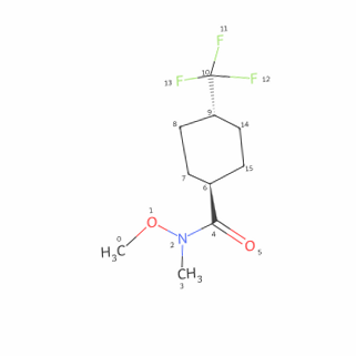 CON(C)C(=O)[C@H]1CC[C@H](C(F)(F)F)CC1